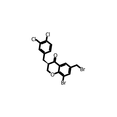 O=C1c2cc(CBr)cc(Br)c2OC[C@H]1Cc1ccc(Cl)c(Cl)c1